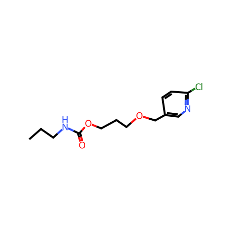 CCCNC(=O)OCCCOCc1ccc(Cl)nc1